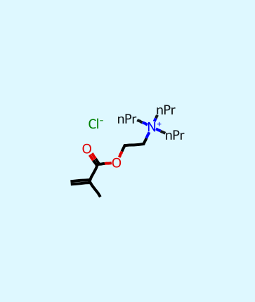 C=C(C)C(=O)OCC[N+](CCC)(CCC)CCC.[Cl-]